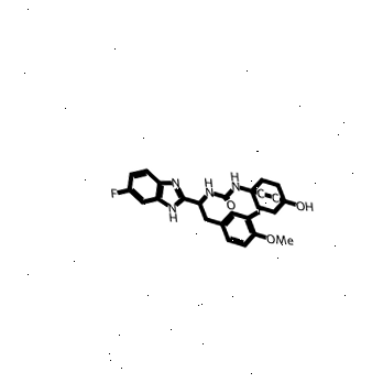 COc1ccc(CC(NC(=O)NC23CCC(O)(CC2)CC3)c2nc3ccc(F)cc3[nH]2)cc1F